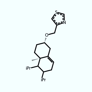 CC(C)C1CC=C2C[C@@H](OCc3cscn3)CC[C@]2(C)C1C(C)C